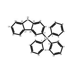 c1ccc([Si](c2ccccc2)(c2ccccc2)c2ccc3sc4ccccc4c3c2)cc1